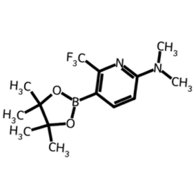 CN(C)c1ccc(B2OC(C)(C)C(C)(C)O2)c(C(F)(F)F)n1